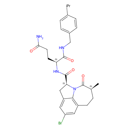 CC(C)c1ccc(CNC(=O)[C@H](CCC(N)=O)NC(=O)[C@@H]2Cc3cc(Br)cc4c3N2C(=O)[C@@H](C)CC4)cc1